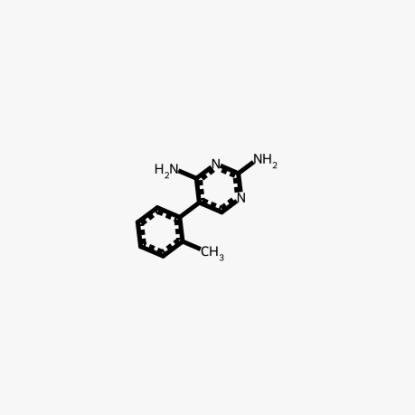 Cc1ccccc1-c1cnc(N)nc1N